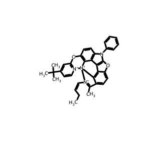 CC/C=C\[N+]1=C(C)c2ccc3oc4c5c3c2[N+]12c1c(ccc(c15)n4-c1ccccc1)Oc1cc(C(C)(C)C)cc[n+]12